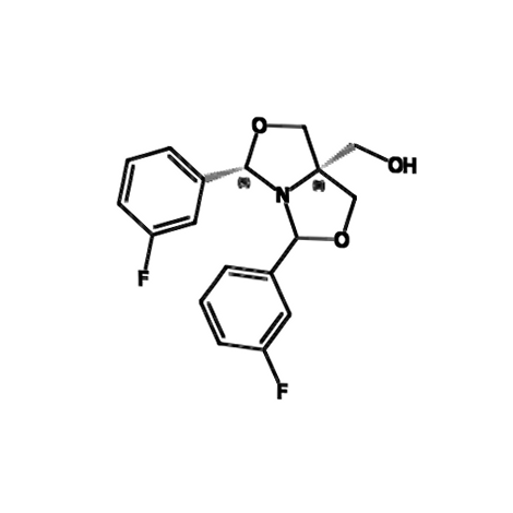 OC[C@]12COC(c3cccc(F)c3)N1[C@H](c1cccc(F)c1)OC2